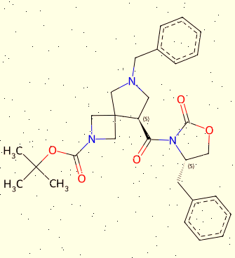 CC(C)(C)OC(=O)N1CC2(CN(Cc3ccccc3)C[C@H]2C(=O)N2C(=O)OC[C@@H]2Cc2ccccc2)C1